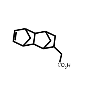 O=C(O)CC1CC2CC1C1C3C=CC(C3)C21